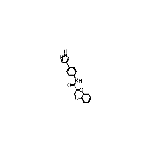 O=C(Nc1ccc(-c2cn[nH]c2)cc1)[C@H]1COc2ccccc2O1